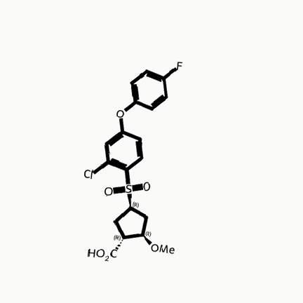 CO[C@@H]1C[C@H](S(=O)(=O)c2ccc(Oc3ccc(F)cc3)cc2Cl)C[C@H]1C(=O)O